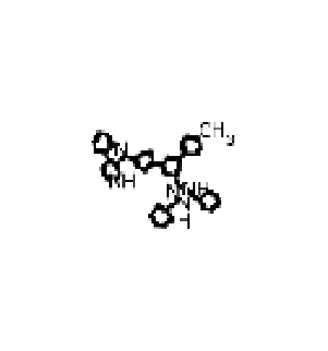 Cc1ccc(-c2cc(-c3ccc(-c4nc5ccccc5c5c4CNC=C5)cc3)cc(C3N=C(c4ccccc4)NC(c4ccccc4)N3)c2)cc1